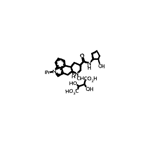 CC(C)n1cc2c3c(cccc31)C1CC(C(=O)NC3CCCC3O)CN(C)[C@@H]1C2.O=C(O)C(O)C(O)C(=O)O